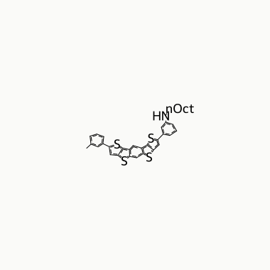 CCCCCCCCNc1cccc(-c2cc3sc4cc5sc6cc(-c7cccc(C)c7)sc6c5cc4c3s2)c1